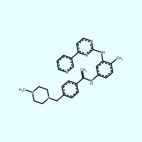 C=C(Nc1ccc(C)c(Nc2nccc(-c3cccnc3)n2)c1)c1ccc(CN2CCN(C)CC2)cc1